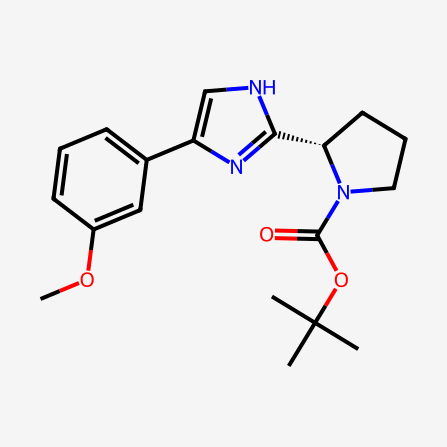 COc1cccc(-c2c[nH]c([C@@H]3CCCN3C(=O)OC(C)(C)C)n2)c1